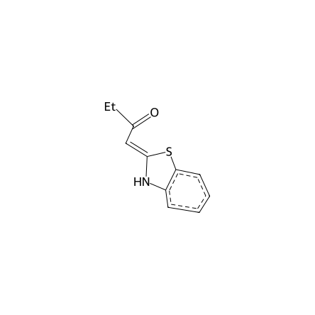 CCC(=O)/C=C1/Nc2ccccc2S1